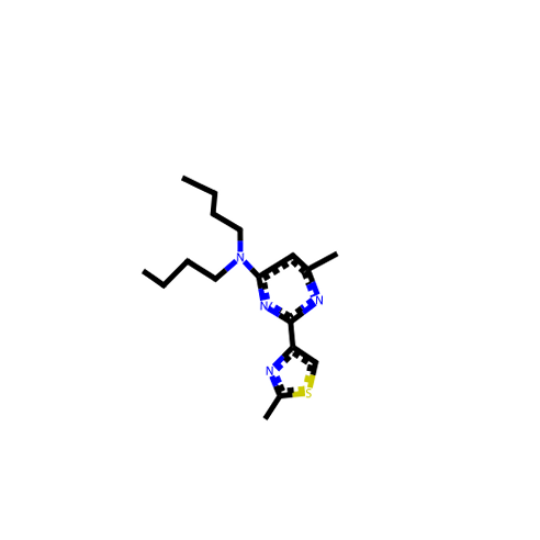 CCCCN(CCCC)c1cc(C)nc(-c2csc(C)n2)n1